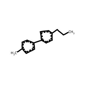 [CH2]c1ccc(-c2ccc(CCC)cc2)cc1